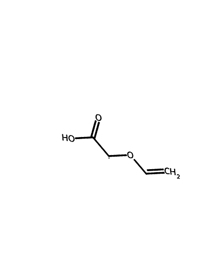 C=CO[CH]C(=O)O